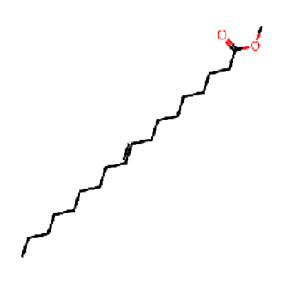 CCCCCCCCC=CCCCCCCCC(=O)OC